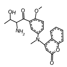 COc1ccc(N(C)c2cc(=O)oc3ccccc23)cc1C(=O)C(N)C(C)O